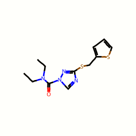 CCN(CC)C(=O)n1cnc(SCc2cccs2)n1